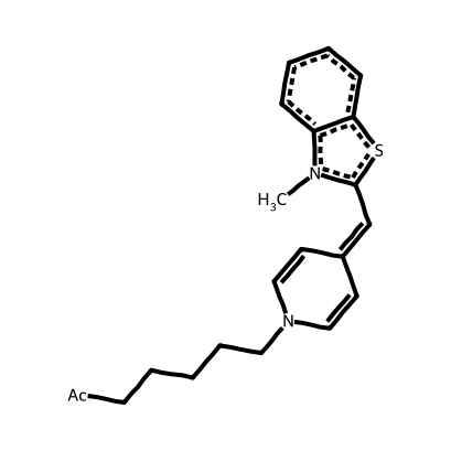 CC(=O)CCCCCN1C=CC(=Cc2sc3ccccc3[n+]2C)C=C1